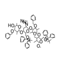 CO[C@H]1OC(CO[Si](c2ccccc2)(c2ccccc2)C(C)(C)C)[C@@H](O[C@@H]2OC(C)C(O[C@@H]3OC(CO[Si](c4ccccc4)(c4ccccc4)C(C)(C)C)[C@@H](O[C@@H]4OC(C)[C@@H](O)[C@@H](OCc5ccccc5)C4C)[C@H](C)C3N=[N+]=[N-])[C@@H](OCc3ccccc3)C2C)[C@H](C)C1C